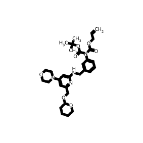 C=CCOC(=O)N(C(=O)OC(C)(C)C)c1cccc(CNc2cc(N3CCOCC3)cc(COC3CCCCO3)n2)c1